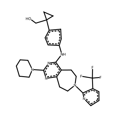 OCC1(c2ccc(Nc3nc(N4CCCCC4)nc4c3CCN(c3ncccc3C(F)(F)F)CC4)cc2)CC1